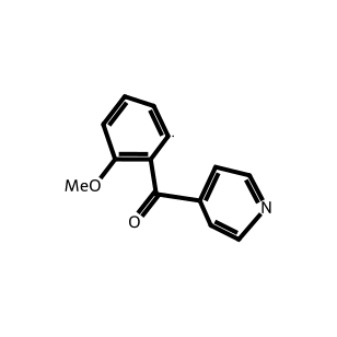 COc1ccc[c]c1C(=O)c1ccncc1